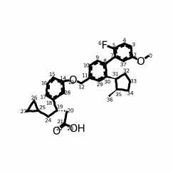 COc1ccc(F)c(-c2ccc(COc3cccc([C@H](CC(=O)O)CC4CC4)c3)cc2[C@H]2CCC[C@H]2C)c1